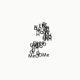 C=CC(=O)OCC(C)(C)C(=O)C(=O)N1CCCC[C@H]1C(=O)O[C@H](CCc1ccc(OC)c(OC)c1)c1cccc(NC(=O)CCC(=O)N[C@H](C(=O)N[C@@H](Cc2ccc(C(=O)Nc3cccnc3)cc2)C(=O)N2CCC[C@@H]2C(=O)N(C)[C@@H](CC(C)C)C(=O)N(C)CC)c2ccccc2)c1